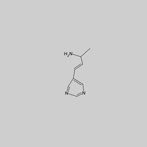 CC(N)/C=C/c1cncnc1